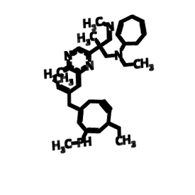 C=c1ncc(C(C)(/C=N\C)CN(CC)C2C=CCC=CC2)n/c1=C/C(=C\C)C/C1=C/C(PC)=C\C(CC)C#CC1